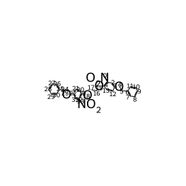 O=[N+]([O-])c1cc(OCc2ccccc2)ccc1OCCOc1ccc(OCc2ccccc2)cc1[N+](=O)[O-]